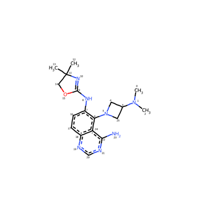 CN(C)C1CN(c2c(NC3=NC(C)(C)CO3)ccc3ncnc(N)c23)C1